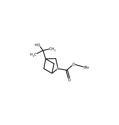 CC(C)(C)OC(=O)N1CC2(C(C)(C)O)CC1C2